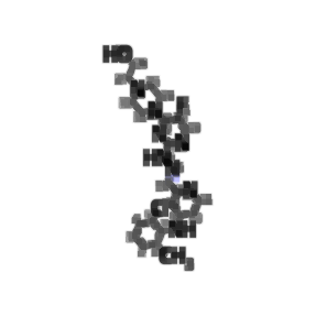 Cc1cccc(Cl)c1Nc1ccnc(/C=N/Nc2ncc(F)c(N3CCN(CCO)CC3)n2)c1